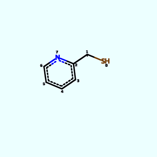 S[CH]c1ccccn1